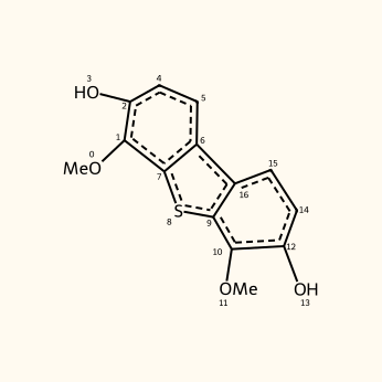 COc1c(O)ccc2c1sc1c(OC)c(O)ccc12